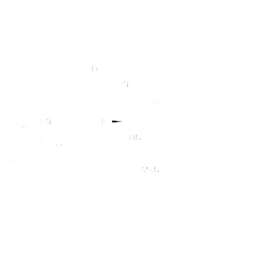 CN[C@H](C(=O)N[C@H](C(=O)N(C)[C@H](/C=C(\C)C(=O)NS(=O)(=O)c1cccs1)C(C)C)C(C)(C)C)C(C)(C)c1ccccc1